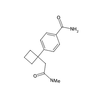 CNC(=O)CC1(c2ccc(C(N)=O)cc2)CCC1